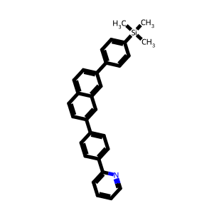 C[Si](C)(C)c1ccc(-c2ccc3ccc(-c4ccc(-c5ccccn5)cc4)cc3c2)cc1